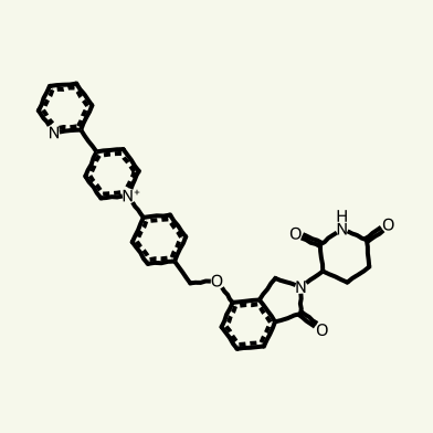 O=C1CCC(N2Cc3c(OCc4ccc(-[n+]5ccc(-c6ccccn6)cc5)cc4)cccc3C2=O)C(=O)N1